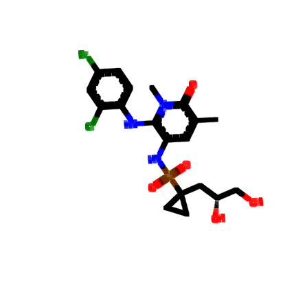 Cc1cc(NS(=O)(=O)C2(C[C@@H](O)CO)CC2)c(Nc2ccc(Br)cc2Cl)n(C)c1=O